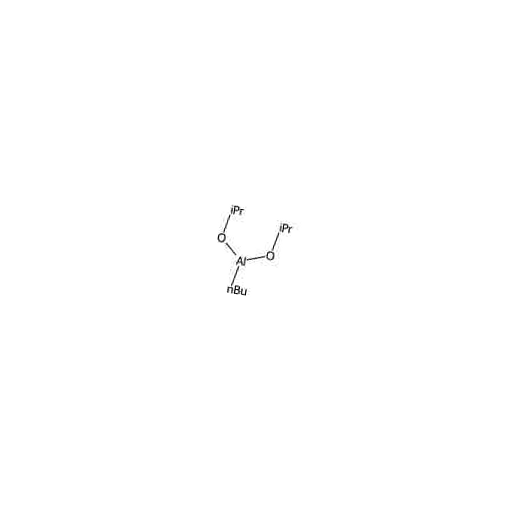 CCC[CH2][Al]([O]C(C)C)[O]C(C)C